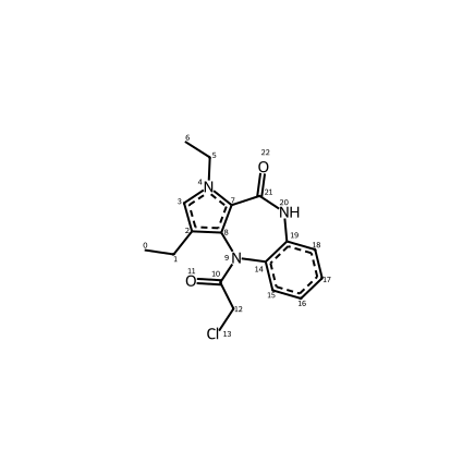 CCc1cn(CC)c2c1N(C(=O)CCl)c1ccccc1NC2=O